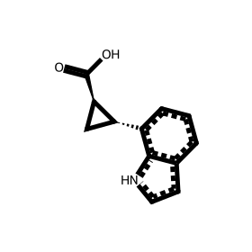 O=C(O)[C@@H]1C[C@H]1c1cccc2cc[nH]c12